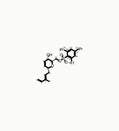 C=C/C(C)=C/C[C@H]1C=C[C@H](O)[C@@H](COS(=O)(=O)c2c(CC)cc(C(C)C)cc2C(C)C)O1